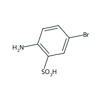 Nc1ccc(Br)cc1S(=O)(=O)O